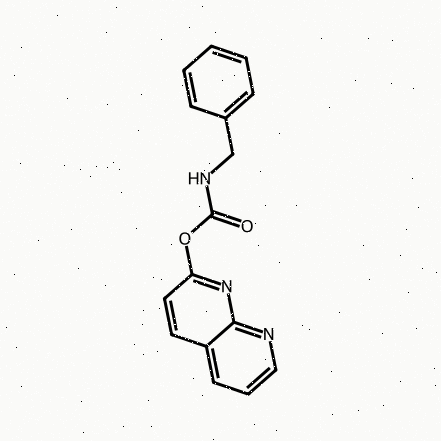 O=C(NCc1ccccc1)Oc1ccc2cccnc2n1